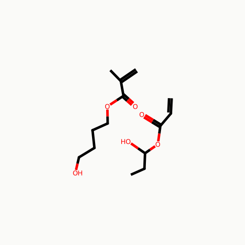 C=C(C)C(=O)OCCCCO.C=CC(=O)OC(O)CC